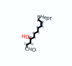 CCCCCCCC/C=C\CCCCC(O)CC[C]=O